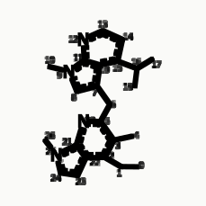 CCc1c(C)c(Cc2cn(C)c3nccc(C(C)C)c23)nc2c1ccn2C